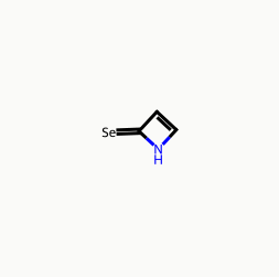 [Se]=C1C=CN1